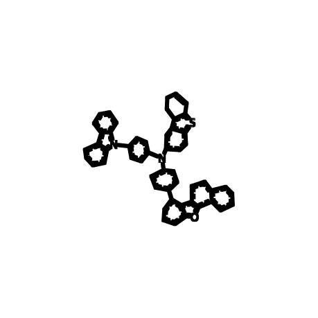 C1=Cc2sc3ccc(N(c4ccc(-c5cccc6oc7c8ccccc8ccc7c56)cc4)c4ccc(-n5c6ccccc6c6ccccc65)cc4)cc3c2CC1